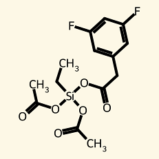 CC[Si](OC(C)=O)(OC(C)=O)OC(=O)Cc1cc(F)cc(F)c1